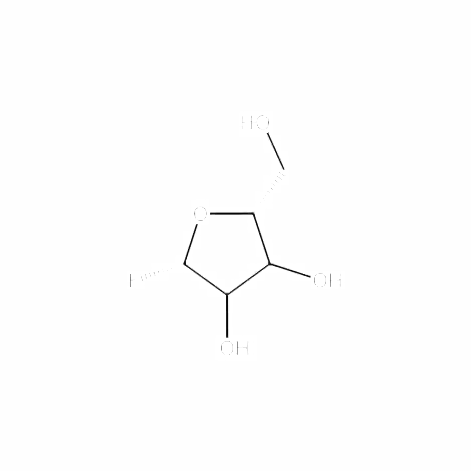 OC[C@H]1O[C@@H](F)C(O)C1O